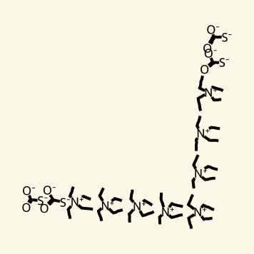 CC[N+](CC)(CC)CC.CC[N+](CC)(CC)CC.CC[N+](CC)(CC)CC.CC[N+](CC)(CC)CC.CC[N+](CC)(CC)CC.CC[N+](CC)(CC)CC.CC[N+](CC)(CC)CC.CC[N+](CC)(CC)CC.O=C([O-])[S-].O=C([O-])[S-].O=C([O-])[S-].O=C([O-])[S-]